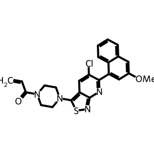 C=CC(=O)N1CCN(c2snc3nc(-c4cc(OC)cc5ccccc45)c(Cl)cc23)CC1